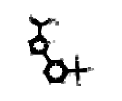 NC(=O)c1ccc(-c2cccc(C(F)(F)F)c2)o1